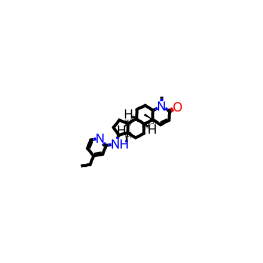 CCc1ccnc(NC2CC[C@H]3[C@@H]4CCC5N(C)C(=O)C=C[C@]5(C)[C@@H]4CC[C@]23C)c1